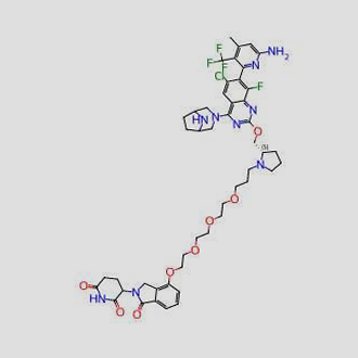 Cc1cc(N)nc(-c2c(Cl)cc3c(N4CC5CCC(C4)N5)nc(OC[C@@H]4CCCN4CCCOCCOCCOCCOc4cccc5c4CN(C4CCC(=O)NC4=O)C5=O)nc3c2F)c1C(F)(F)F